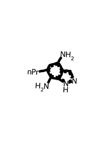 CCCc1cc(N)c2cn[nH]c2c1N